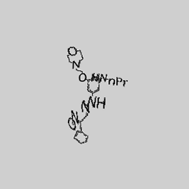 CCCNc1cc(N/N=C/c2noc3ccccc23)cc(OCCN2CCOCC2)n1